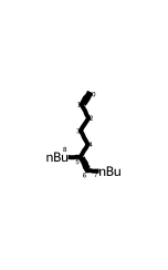 C=CCCCC(=CCCCC)CCCC